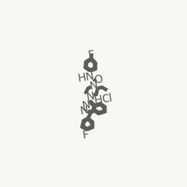 CCC1CN(c2nnc(-c3ccc(F)cc3)c3ccccc23)CCN1C(=O)Nc1ccc(F)cc1.Cl